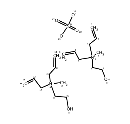 C=CC[N+](C)(CC=C)CCO.C=CC[N+](C)(CC=C)CCO.O=S(=O)([O-])[O-]